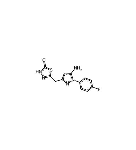 Nc1cc(Cc2n[nH]c(=O)s2)nn1-c1ccc(F)cc1